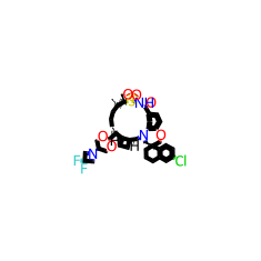 C[C@@H]1[C@@H](C)CCC[C@@H]([C@H]2OC[C@H](N3CC(F)(F)C3)CO2)[C@@H]2CC[C@H]2CN2C[C@@]3(CCCc4cc(Cl)ccc43)COc3ccc(cc32)C(=O)NS1(=O)=O